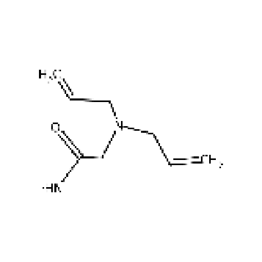 C=CCN(CC=C)CC([NH])=O